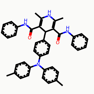 CC1=C(C(=O)Nc2ccccc2)C(c2ccc(N(c3ccc(C)cc3)c3ccc(C)cc3)cc2)C(C(=O)Nc2ccccc2)=C(C)N1